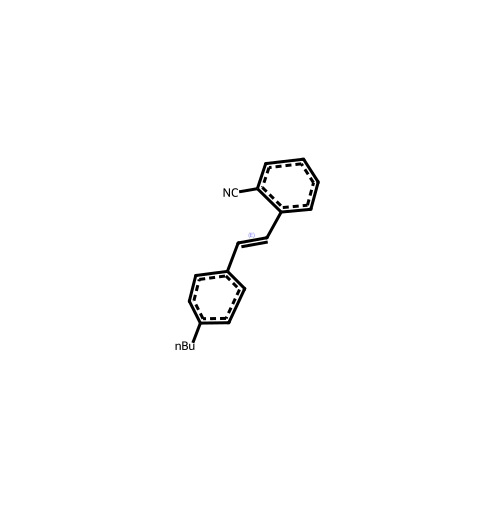 CCCCc1ccc(/C=C/c2ccccc2C#N)cc1